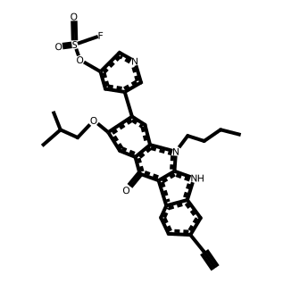 C#Cc1ccc2c(c1)[nH]c1c2c(=O)c2cc(OCC(C)C)c(-c3cncc(OS(=O)(=O)F)c3)cc2n1CCCC